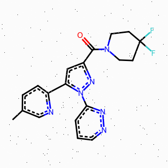 Cc1ccc(-c2cc(C(=O)N3CCC(F)(F)CC3)nn2-c2cccnn2)nc1